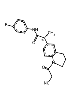 C[C@H](C(=O)Nc1ccc(F)cc1)c1ccc2c(c1)CCCN2C(=O)CC#N